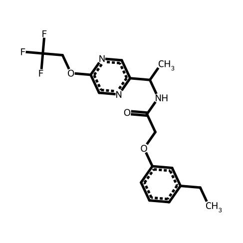 CCc1cccc(OCC(=O)NC(C)c2cnc(OCC(F)(F)F)cn2)c1